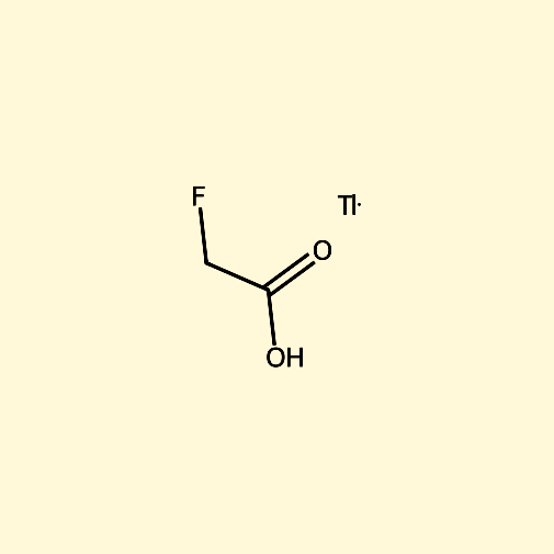 O=C(O)CF.[Tl]